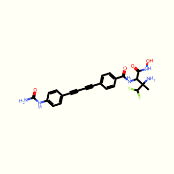 CC(N)(C(F)F)C(NC(=O)c1ccc(C#CC#Cc2ccc(NC(N)=O)cc2)cc1)C(=O)NO